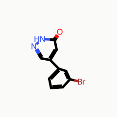 O=c1cc(-c2cccc(Br)c2)cn[nH]1